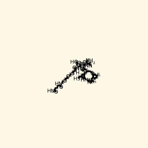 CNC(=O)CCCC(=O)NCCOCCOCCOCCC(=O)N[C@@H](CC(=O)O)C(=O)N1CCC(C[C@H]2CCOc3cc(F)ccc3-c3nc(ncc3F)Nc3cc(CS)cc(c3)O2)[C@H]1C(=O)N[C@H](C(N)=O)C(C)C